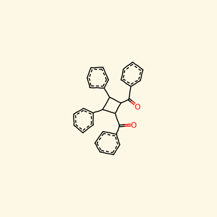 O=C(c1ccccc1)C1C(C(=O)c2ccccc2)C(c2ccccc2)C1c1ccccc1